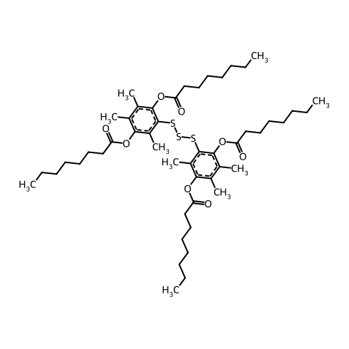 CCCCCCCC(=O)Oc1c(C)c(C)c(OC(=O)CCCCCCC)c(SSSc2c(C)c(OC(=O)CCCCCCC)c(C)c(C)c2OC(=O)CCCCCCC)c1C